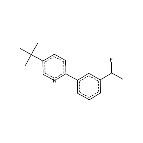 CC(F)c1cccc(-c2ccc(C(C)(C)C)cn2)c1